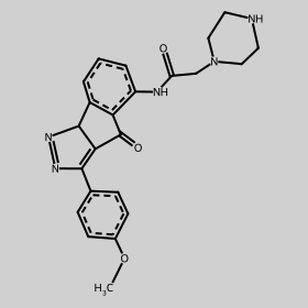 COc1ccc(C2=C3C(=O)c4c(NC(=O)CN5CCNCC5)cccc4C3N=N2)cc1